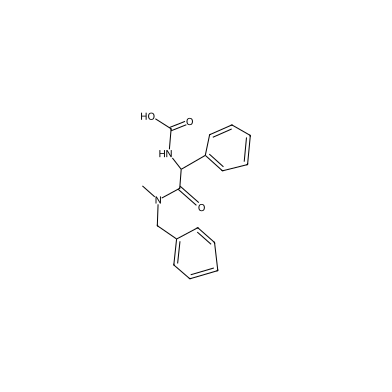 CN(Cc1ccccc1)C(=O)C(NC(=O)O)c1ccccc1